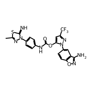 Cc1nn(-c2ccc(NC(=O)Oc3cc(C(F)(F)F)nn3-c3ccc4onc(N)c4c3)cc2)c(=N)s1